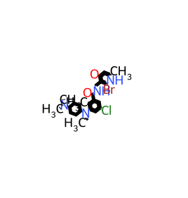 CCN(c1cc(Cl)cc(C(=O)NCc2c(Br)[nH]c(C)cc2=O)c1C)[C@H]1CC[C@H](N(C)C)CC1